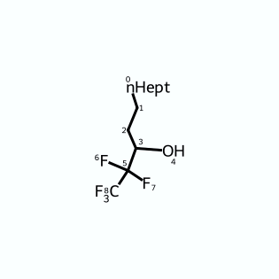 CCCCCCCCCC(O)C(F)(F)C(F)(F)F